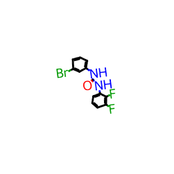 O=C(Nc1cccc(Br)c1)Nc1cccc(F)c1F